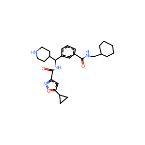 O=C(NCC1CCCCC1)c1cccc(C(NC(=O)c2cc(C3CC3)on2)C2CCNCC2)c1